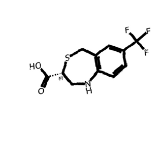 O=C(O)[C@H]1CNc2ccc(C(F)(F)F)cc2CS1